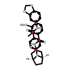 COc1cccc(C(=O)N[C@H]2C[C@H]3CC[C@@H](C2)N3c2ccc(C(=O)Nc3ccc4c(c3)OCO4)cn2)c1C